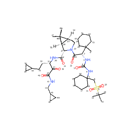 CC1([C@H](NC(=O)NC2(CS(=O)(=O)C(C)(C)C)CCCCC2)C(=O)N2C[C@H]3[C@@H]([C@H]2C(=O)N[C@@H](CCC2CC2)C(=O)C(=O)NCC2CC2)C3(C)C)CCCCC1